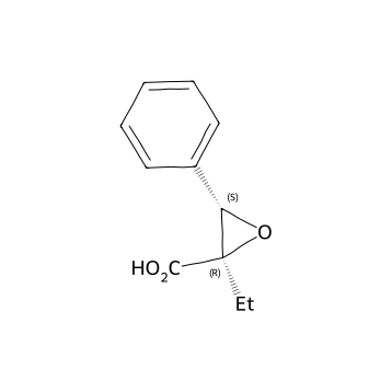 CC[C@@]1(C(=O)O)O[C@H]1c1ccccc1